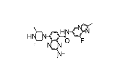 Cc1cn2cc(NC(=O)c3ccc(N4C[C@H](C)N[C@@H](C)C4)c4ncc(N(C)C)nc34)cc(F)c2n1